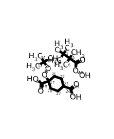 CC(C)(C)C(C)(C)C(=O)OO.CC(C)(C)OOC1(C(=O)O)CCC(C(=O)O)CC1